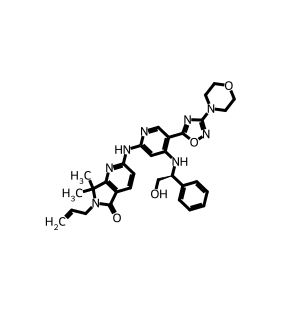 C=CCN1C(=O)c2ccc(Nc3cc(N[C@H](CO)c4ccccc4)c(-c4nc(N5CCOCC5)no4)cn3)nc2C1(C)C